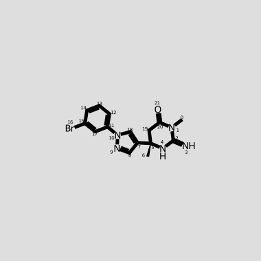 CN1C(=N)N[C@](C)(c2cnn(-c3cccc(Br)c3)c2)CC1=O